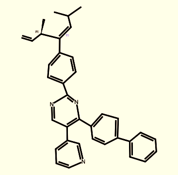 C=C[C@@H](C)/C(=C\C(C)C)c1ccc(-c2ncc(-c3cccnc3)c(-c3ccc(-c4ccccc4)cc3)n2)cc1